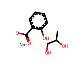 CC(O)CO.O=C([O-])c1ccccc1O.[Na+]